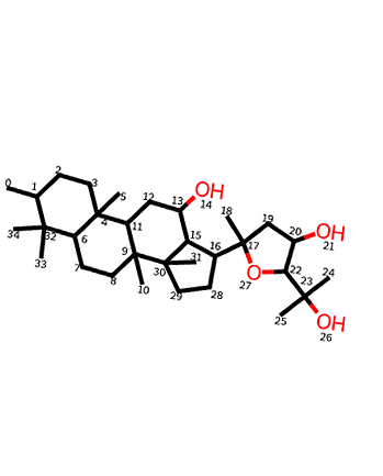 CC1CCC2(C)C(CCC3(C)C2CC(O)C2C(C4(C)CC(O)C(C(C)(C)O)O4)CCC23C)C1(C)C